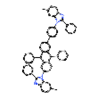 Cc1ccc2nc(-c3ccccc3)n(-c3ccc(-c4ccc5c(-c6ccccc6)c6cc(-n7c(-c8ccccc8)nc8ccc(C)cc87)ccc6c(-c6ccccc6)c5c4)cc3)c2c1